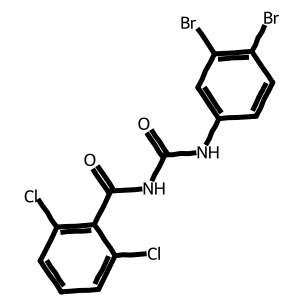 O=C(NC(=O)c1c(Cl)cccc1Cl)Nc1ccc(Br)c(Br)c1